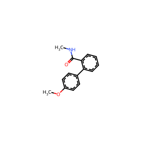 CNC(=O)c1ccccc1-c1ccc(OC)cc1